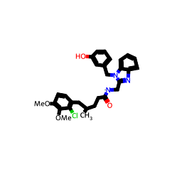 COc1ccc(CC(C)CCC(=O)[N]Cc2nc3ccccc3n2Cc2cccc(O)c2)c(Cl)c1OC